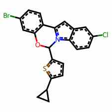 Clc1ccc2c(c1)cc1n2C(c2ccc(C3CC3)s2)Oc2cc(Br)ccc2-1